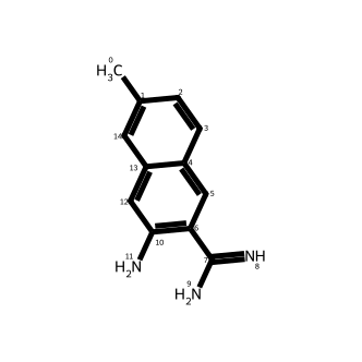 Cc1ccc2cc(C(=N)N)c(N)cc2c1